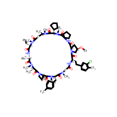 CCO[C@@H]1C[C@H]2C(=O)NC3(CCCC3)C(=O)N(C)[C@@H](C3CCCC3)C(=O)N(C)[C@H](C)CC(=O)N(C)[C@@H](CC(C)C)C(=O)N[C@@H]([C@@H](C)CC)C(=O)N(C)[C@@H](C)C(=O)N3CC[C@H]3C(=O)N(C)[C@@H](Cc3ccc(C(F)(F)F)cc3)C(=O)N(C)CC(=O)N[C@@H](CCc3ccc(C(F)(F)F)c(Cl)c3)C(=O)N2C1